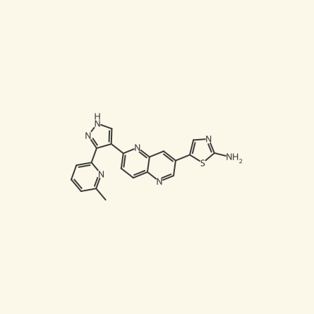 Cc1cccc(-c2n[nH]cc2-c2ccc3ncc(-c4cnc(N)s4)cc3n2)n1